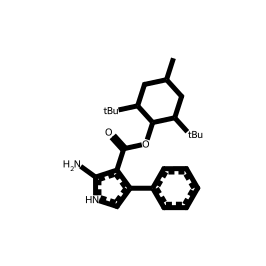 CC1CC(C(C)(C)C)C(OC(=O)c2c(-c3ccccc3)c[nH]c2N)C(C(C)(C)C)C1